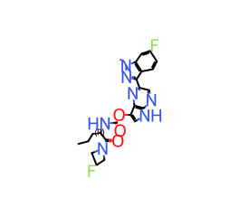 CCC[C@@H](NC(=O)Oc1c[nH]c2ncc(-c3nn(C)c4cc(F)ccc34)nc12)C(=O)N1CC(F)C1